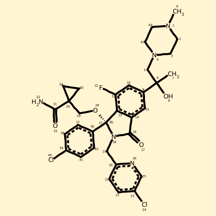 CN1CCN(CC(C)(O)c2cc(F)c3c(c2)C(=O)N(Cc2ccc(Cl)cn2)[C@@]3(OCC2(C(N)=O)CC2)c2ccc(Cl)cc2)CC1